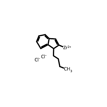 CCCCC1[C]([Zr+2])=Cc2ccccc21.[Cl-].[Cl-]